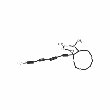 CC#CC#CC#CC#CC1(PPP)CCCCCCCCCC1P(C)P